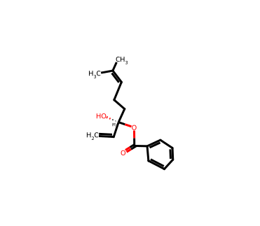 C=C[C@@](O)(CCC=C(C)C)OC(=O)c1ccccc1